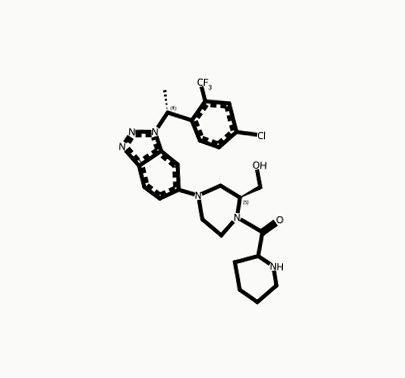 C[C@H](c1ccc(Cl)cc1C(F)(F)F)n1nnc2ccc(N3CCN(C(=O)C4CCCCN4)[C@H](CO)C3)cc21